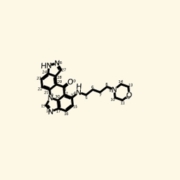 O=c1c2c(NCCCCN3CCOCC3)ccc3ncn(c4ccc5[nH]ncc5c14)c32